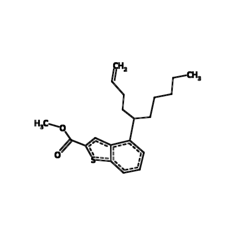 C=CCCC(CCCCC)c1cccc2sc(C(=O)OC)cc12